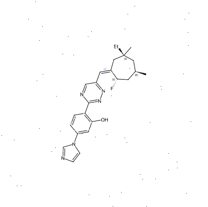 CC[C@]1(C)C/C(=C/c2cnc(-c3ccc(-n4ccnc4)cc3O)nn2)[C@@H](F)C[C@H](C)C1